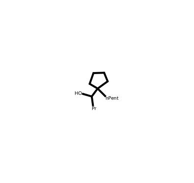 CCCCCC1([CH](O)[Pr])CCCC1